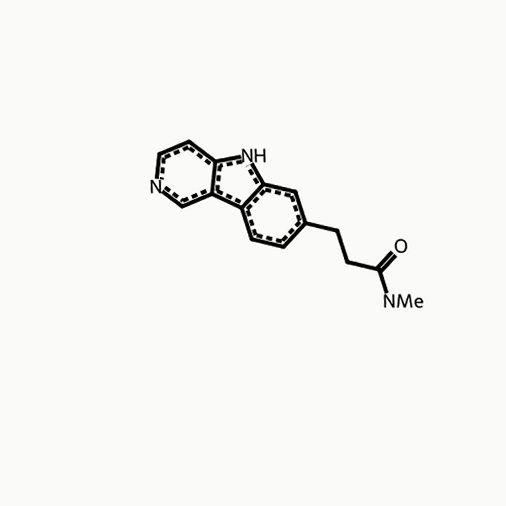 CNC(=O)CCc1ccc2c(c1)[nH]c1ccncc12